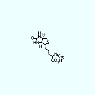 O=C1N[C@H]2[C@H](CS[C@H]2CCCC(N=C=S)C(=O)O)N1